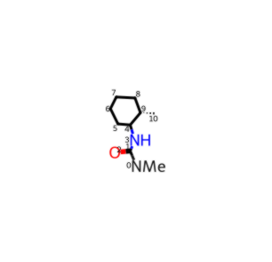 CNC(=O)NC1CCCC[C@@H]1C